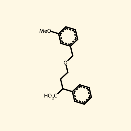 COc1cccc(COCCC(C(=O)O)c2ccccc2)c1